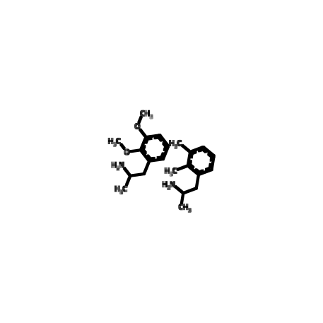 COc1cccc(CC(C)N)c1OC.Cc1cccc(CC(C)N)c1C